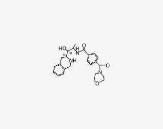 CC(NC(=O)c1ccc(C(=O)N2CCOCC2)cc1)[C@H](O)[C@@H]1Cc2ccccc2CN1